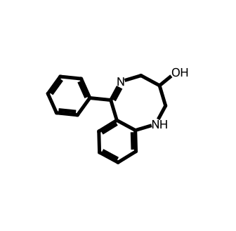 OC1CN=C(c2ccccc2)c2ccccc2NC1